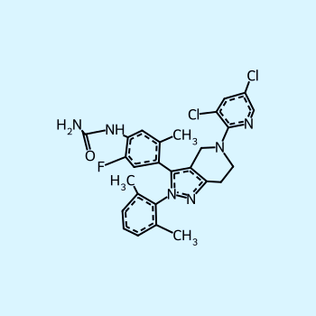 Cc1cc(NC(N)=O)c(F)cc1-c1c2c(nn1-c1c(C)cccc1C)CCN(c1ncc(Cl)cc1Cl)C2